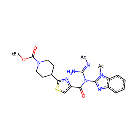 CC(=O)N=C(N)N(C(=O)c1csc(C2CCN(C(=O)OC(C)(C)C)CC2)n1)c1nc2ccccc2n1C(C)=O